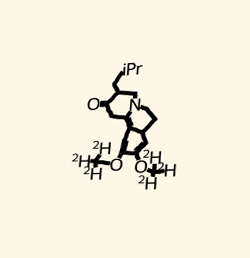 [2H]C([2H])([2H])OC1=CC2=C3CC(=O)C(CC(C)C)CN3CCC2C=C1OC([2H])([2H])[2H]